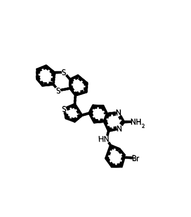 Nc1nc(Nc2cccc(Br)c2)c2cc(-c3ccsc3-c3cccc4c3Sc3ccccc3S4)ccc2n1